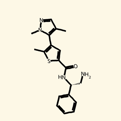 Cc1cnn(C)c1-c1cc(C(=O)N[C@H](CN)c2ccccc2)sc1C